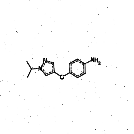 CC(C)n1cc(Oc2ccc(N)cc2)cn1